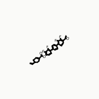 C=CC1CC=C(C(=O)Oc2ccc(-c3ccc(-c4ccc(C5CO5)c(F)c4F)cc3)c(F)c2F)CC1